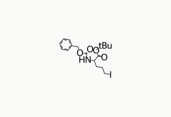 CC(C)(C)OC(=O)C(CCCI)NC(=O)OCc1ccccc1